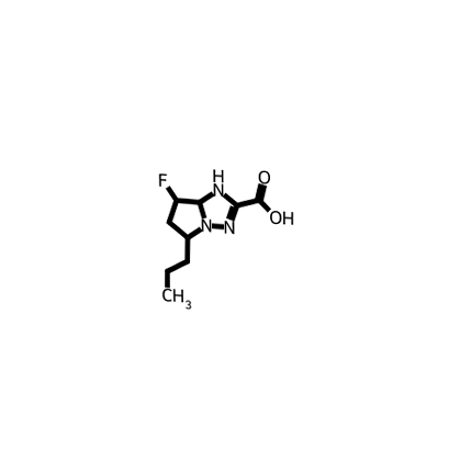 CCCC1CC(F)C2NC(C(=O)O)=NN12